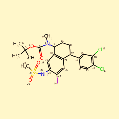 CN(C(=O)OC(C)(C)C)C1CCC(c2ccc(Cl)c(Cl)c2)c2cc(I)c(NS(C)(=O)=O)cc21